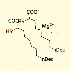 CCCCCCCCCCCCCCCCC(S)C(=O)[O-].CCCCCCCCCCCCCCCCC(S)C(=O)[O-].[Mg+2]